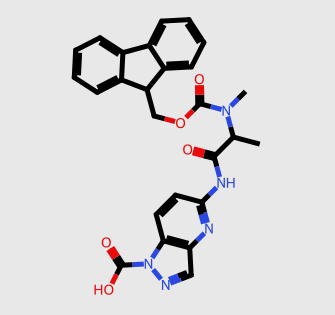 CC(C(=O)Nc1ccc2c(cnn2C(=O)O)n1)N(C)C(=O)OCC1c2ccccc2-c2ccccc21